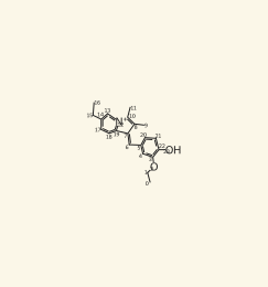 CCOc1cc(/C=C2\C(C)=C(C)[n+]3cc(CC)ccc32)ccc1O